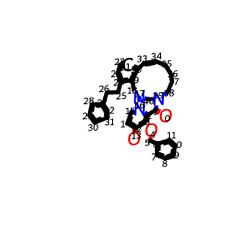 O=C1c2c(OCc3ccccc3)c(=O)ccn2N2Cc3c(cccc3CCc3ccccc3)/C=C\CCCCN1C2